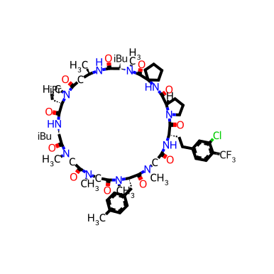 CC[C@H](C)[C@@H]1NC(=O)[C@H](CC(C)C)N(C)C(=O)C[C@@H](C)NC(=O)[C@H]([C@@H](C)CC)N(C)C(=O)C2(CCCC2)NC(=O)[C@@H]2CCCN2C(=O)[C@H](CCc2ccc(C(F)(F)F)c(Cl)c2)NC(=O)CN(C)C(=O)[C@H](Cc2ccc(C)cc2)N(C)C(=O)CN(C)C(=O)CN(C)C1=O